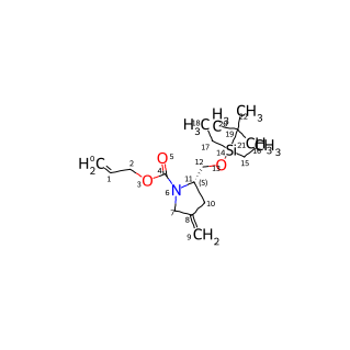 C=CCOC(=O)N1CC(=C)C[C@H]1CO[Si](CC)(CC)C(C)(C)C